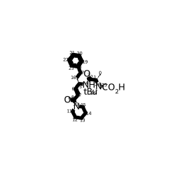 C[C@@H](C(=O)N[C@H](/C=C/C(=O)N1CCCCC1)CCc1ccccc1)N(C(=O)O)C(C)(C)C